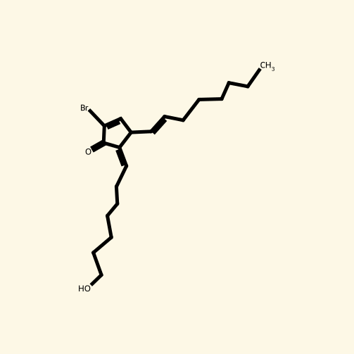 CCCCCC/C=C/C1C=C(Br)C(=O)/C1=C\CCCCCCO